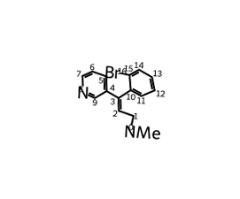 CNC/C=C(/c1cccnc1)c1ccccc1Br